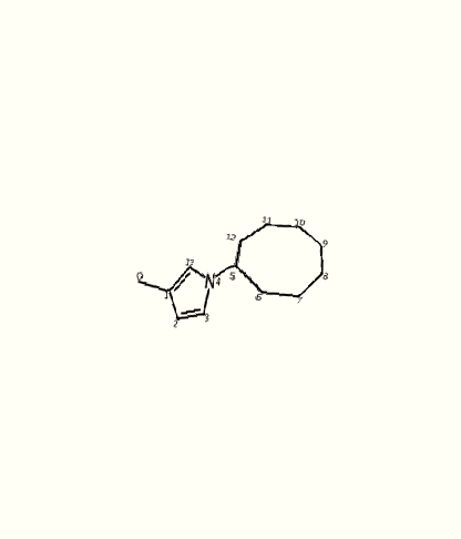 Cc1ccn(C2CCCCCCC2)c1